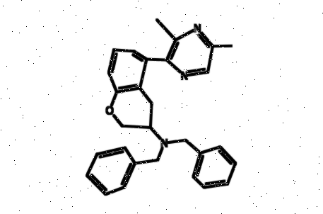 Cc1cnc(-c2cccc3c2CC(N(Cc2ccccc2)Cc2ccccc2)CO3)c(C)n1